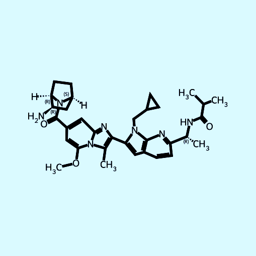 COc1cc(C(=O)N2[C@H]3CC[C@@H]2[C@H](N)C3)cc2nc(-c3cc4ccc([C@@H](C)NC(=O)C(C)C)nc4n3CC3CC3)c(C)n12